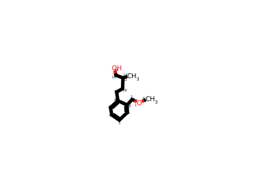 COCc1ccccc1CCC(C)CO